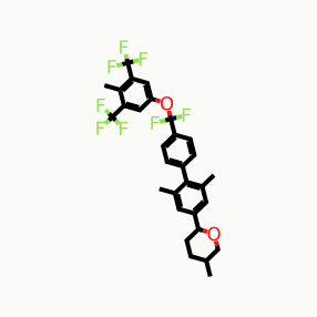 Cc1cc(C2CCC(C)CO2)cc(C)c1-c1ccc(C(F)(F)Oc2cc(C(F)(F)F)c(C)c(C(F)(F)F)c2)cc1